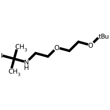 CC(C)(I)NCCOCCOC(C)(C)C